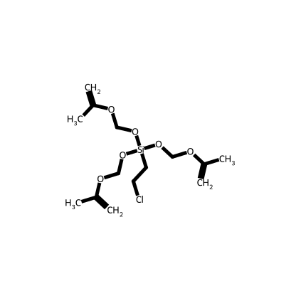 C=C(C)OCO[Si](CCCl)(OCOC(=C)C)OCOC(=C)C